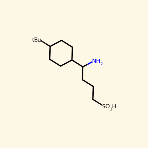 CC(C)(C)C1CCC(C(N)CCCS(=O)(=O)O)CC1